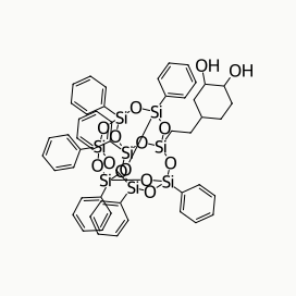 OC1CCC(CC[Si]23O[Si]4(c5ccccc5)O[Si]5(c6ccccc6)O[Si](c6ccccc6)(O2)O[Si]2(c6ccccc6)O[Si](c6ccccc6)(O3)O[Si](c3ccccc3)(O4)O[Si](c3ccccc3)(O5)O2)CC1O